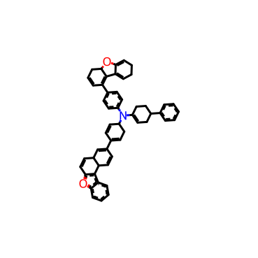 C1=CC(c2ccc(N(C3=CCC(c4ccccc4)CC3)C3C=CC(C4=CC5C=Cc6oc7ccccc7c6C5C=C4)=CC3)cc2)=C2C3=CCCC=C3OC2C1